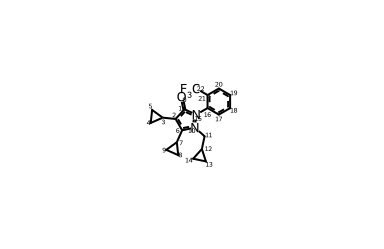 O=c1c(C2CC2)c(C2CC2)n(CC2CC2)n1-c1ccccc1C(F)(F)F